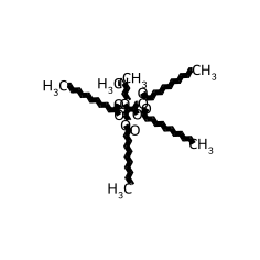 CCCCCCCCCCCC(=O)OCC(OC(=O)CCCCCCCCCCC)C(OCCCN(C)C)C(COC(=O)CCCCCCCCCCC)OC(=O)CCCCCCCCCCC